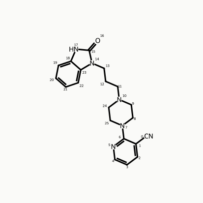 N#Cc1cccnc1N1CCN(CCCn2c(=O)[nH]c3ccccc32)CC1